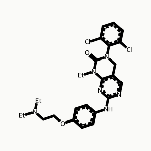 CCN(CC)CCOc1ccc(Nc2ncc3c(n2)N(CC)C(=O)N(c2c(Cl)cccc2Cl)C3)cc1